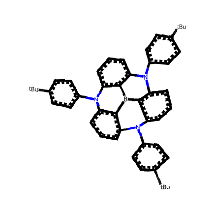 CC(C)(C)c1ccc(N2c3cccc4c3B3c5c2cccc5N(c2ccc(C(C)(C)C)cc2)c2cccc(c23)N4c2ccc(C(C)(C)C)cc2)cc1